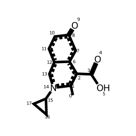 Cc1c(C(=O)O)c2cc(=O)ccc-2cn1C1CC1